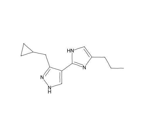 CCCc1c[nH]c(-c2c[nH]nc2CC2CC2)n1